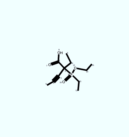 CC#CC(CC)(C(=O)O)P(=O)(CC)OCC